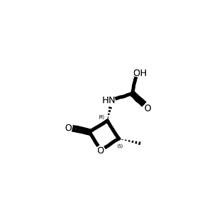 C[C@@H]1OC(=O)[C@@H]1NC(=O)O